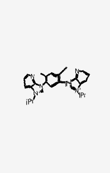 Cc1cc(C)c(-n2c[n+](C(C)C)c3cccnc32)cc1-n1c[n+](C(C)C)c2cccnc21